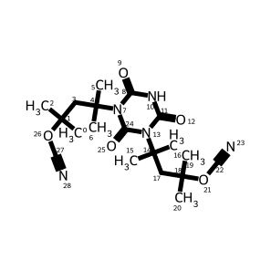 CC(C)(CC(C)(C)n1c(=O)[nH]c(=O)n(C(C)(C)CC(C)(C)OC#N)c1=O)OC#N